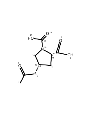 CC(=O)S[C@H]1C[C@@H](C(=O)O)N(C(=O)O)C1